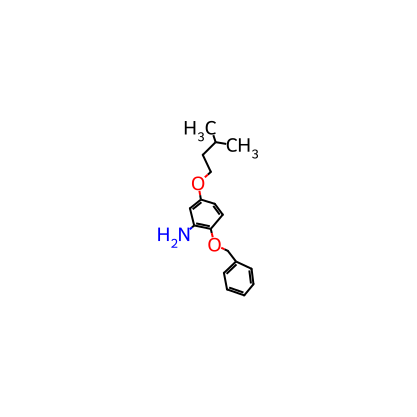 CC(C)CCOc1ccc(OCc2ccccc2)c(N)c1